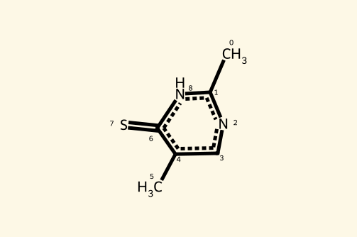 Cc1ncc(C)c(=S)[nH]1